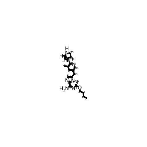 CCCCOc1nc(N)c2ncc(Cc3cnc(N4C[C@H]5C[C@H]4CN5)c(C)c3)n2n1